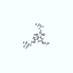 CC(CCOC(=O)c1cc(S(=O)(=O)O)cc(C(=O)OCCC(C(F)(F)F)C(F)(F)F)c1O)C(F)(F)F